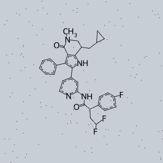 CN1CC(CC2CC2)c2[nH]c(-c3ccnc(NC(=O)C(CC(F)F)c4ccc(F)cc4)c3)c(-c3ccccc3)c2C1=O